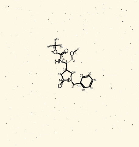 COC[C@@H](NC(=O)OC(C)(C)C)C1CC(=O)N(Cc2ccccc2)C1